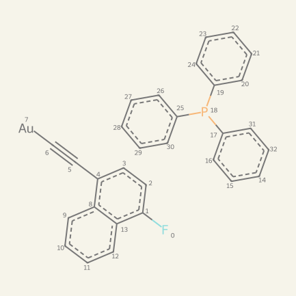 Fc1ccc(C#[C][Au])c2ccccc12.c1ccc(P(c2ccccc2)c2ccccc2)cc1